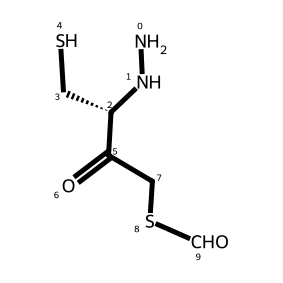 NN[C@@H](CS)C(=O)CSC=O